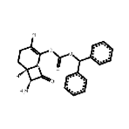 N[C@@H]1C(=O)N2C(OC(=O)OC(c3ccccc3)c3ccccc3)=C(Cl)CC[C@@H]12